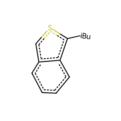 CCC(C)c1scc2ccccc12